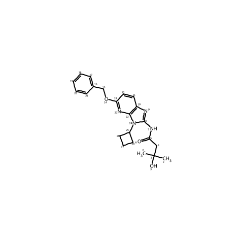 CC(C)(O)CC(=O)Nc1nc2ccc(OCc3ccccc3)nc2n1C1CCC1